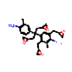 Cc1cc(C(CC2CO2)(CC2CO2)c2cc(CC3CO3)c(N)c(C)c2CC2CO2)ccc1N